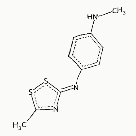 CNc1ccc(N=c2nc(C)ss2)cc1